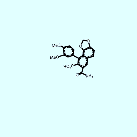 COc1ccc(-c2c(C(=O)O)c(C(N)=O)cc3ccc4c(c23)OCO4)cc1OC